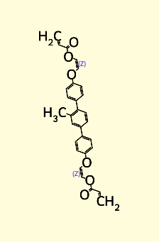 C=CC(=O)O/C=C\Oc1ccc(-c2ccc(-c3ccc(O/C=C\OC(=O)C=C)cc3)c(C)c2)cc1